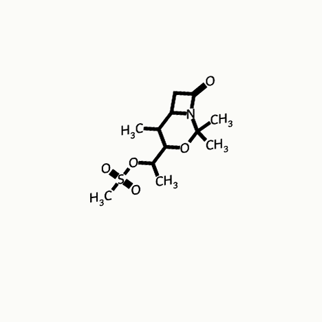 CC(OS(C)(=O)=O)C1OC(C)(C)N2C(=O)CC2C1C